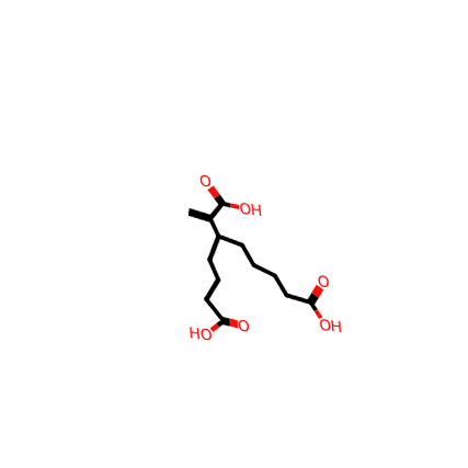 C=C(C(=O)O)C(CCCCC(=O)O)CCCC(=O)O